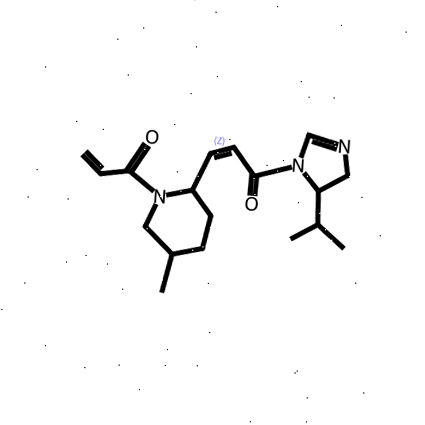 C=CC(=O)N1CC(C)CCC1/C=C\C(=O)N1C=NCC1C(C)C